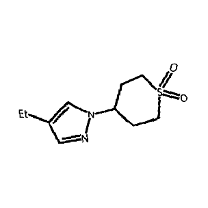 CCc1cnn(C2CCS(=O)(=O)CC2)c1